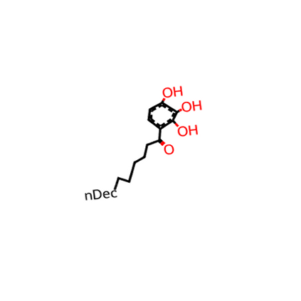 CCCCCCCCCCCCCCCC(=O)c1ccc(O)c(O)c1O